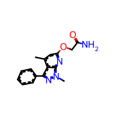 Cc1cc(OCC(N)=O)nc2c1c(-c1ccccc1)nn2C